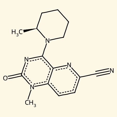 C[C@H]1CCCCN1c1nc(=O)n(C)c2ccc(C#N)nc12